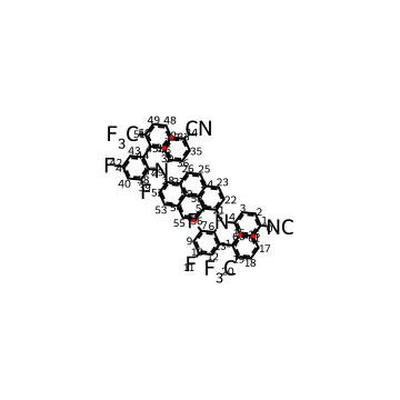 [C-]#[N+]c1ccc(N(c2c(F)cc(F)cc2-c2ccccc2C(F)(F)F)c2ccc3ccc4c(N(c5ccc(C#N)cc5)c5c(F)cc(F)cc5-c5ccccc5C(F)(F)F)ccc5ccc2c3c54)cc1